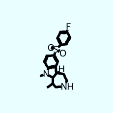 CC1CNCC[C@H]2c3cc(S(=O)(=O)c4ccc(F)cc4)ccc3N(C)C12